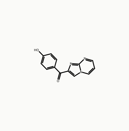 O=C(c1ccc(O)cc1)c1cn2cccnc2n1